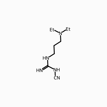 CCN(CC)CCCNC(=N)NC#N